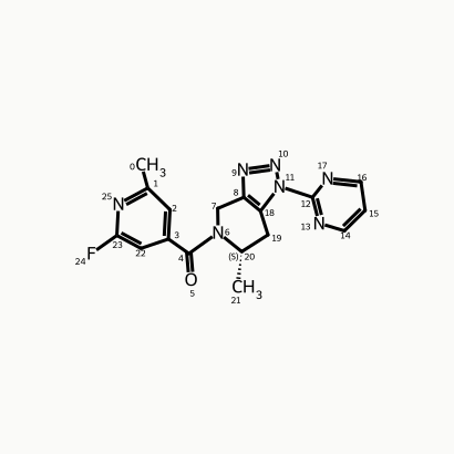 Cc1cc(C(=O)N2Cc3nnn(-c4ncccn4)c3C[C@@H]2C)cc(F)n1